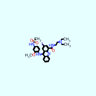 CCN(CC)CCNC(=O)c1cc(I)cc2c(Nc3ccc(NS(C)(=O)=O)cc3OC)c3ccccc3nc12